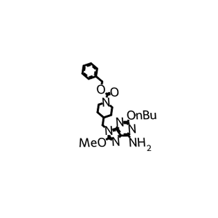 CCCCOc1nc(N)c2nc(OC)n(CC3CCN(C(=O)OCc4ccccc4)CC3)c2n1